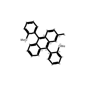 COc1ccccc1-c1c2ccccc2c(-c2ccccc2OC)c2cc(C)ccc12